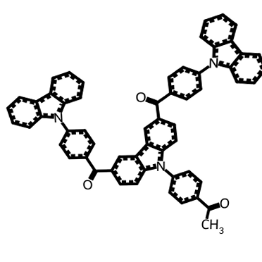 CC(=O)c1ccc(-n2c3ccc(C(=O)c4ccc(-n5c6ccccc6c6ccccc65)cc4)cc3c3cc(C(=O)c4ccc(-n5c6ccccc6c6ccccc65)cc4)ccc32)cc1